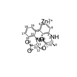 C[C@H](Nc1ccccc1)C(=O)[O-].C[C@H](Nc1ccccc1)C(=O)[O-].[Zn+2]